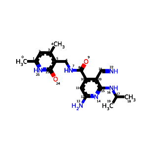 Cc1cc(C)c(CNC(=O)c2cc(N)nc(NC(C)C)c2C=N)c(=O)[nH]1